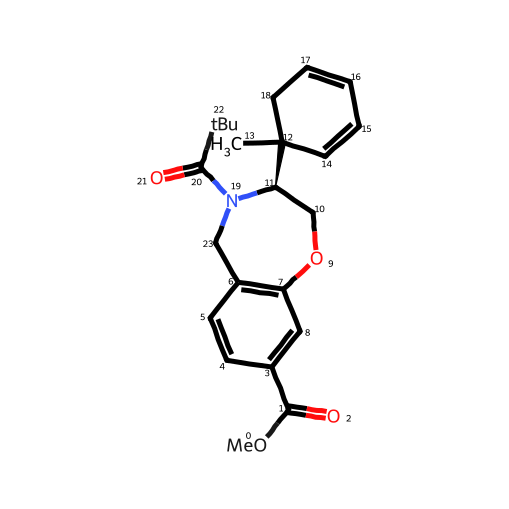 COC(=O)c1ccc2c(c1)OC[C@H](C1(C)C=CC=CC1)N(C(=O)C(C)(C)C)C2